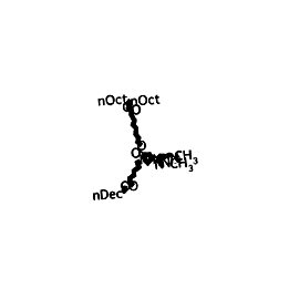 CCCCCCCCCCCOC(=O)CCCCCN1C[C@H](n2cc(CN(C)C)nn2)C[C@H]1C(=O)OCCCCCCCC(=O)OC(CCCCCCCC)CCCCCCCC